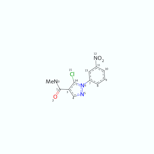 CNC(=O)c1cnn(-c2cccc([N+](=O)[O-])c2)c1Cl